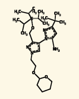 CC(C)[Si](OCc1nn(CCOC2CCCCO2)cc1-n1nc(C(C)(C)C)cc1N)(C(C)C)C(C)C